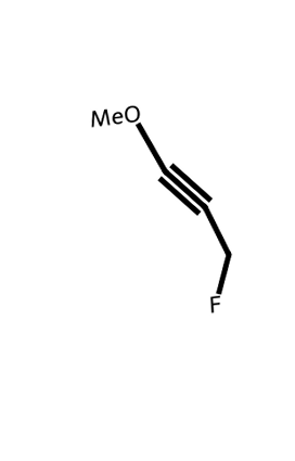 COC#CCF